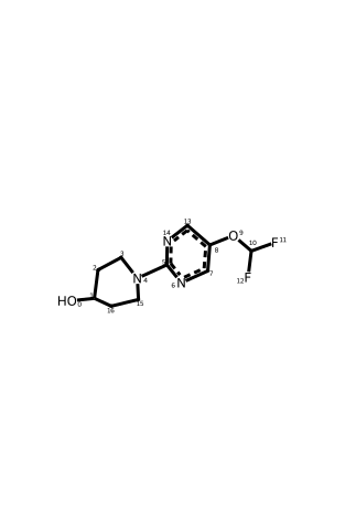 OC1CCN(c2ncc(OC(F)F)cn2)CC1